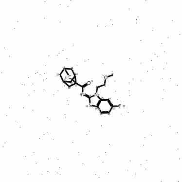 COCCn1c(=NC(=O)C23CC4CC(CC2C4)C3)sc2ccc(F)cc21